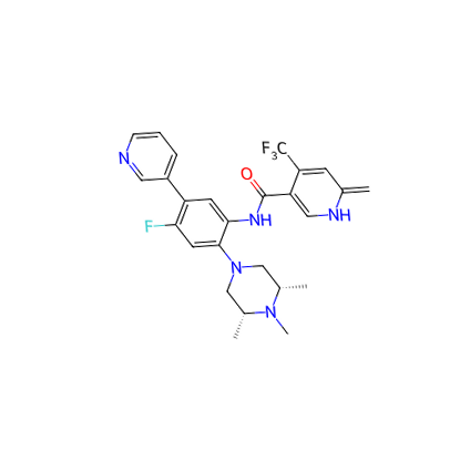 C=C1C=C(C(F)(F)F)C(C(=O)Nc2cc(-c3cccnc3)c(F)cc2N2C[C@@H](C)N(C)[C@@H](C)C2)=CN1